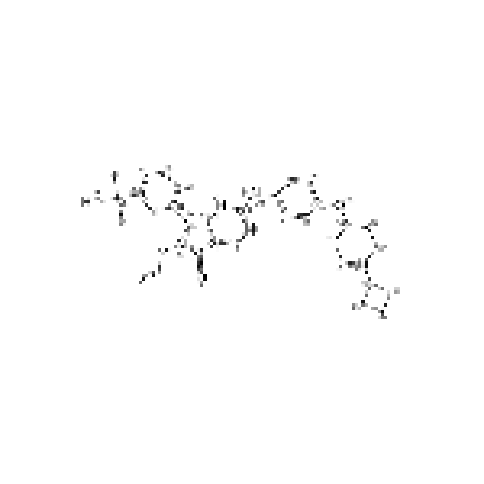 C=CCn1c(=O)c2cnc(Nc3ccc(OC4CCN(C5CCC5)CC4)cc3)nc2n1-c1cccc(C(C)(C)O)n1